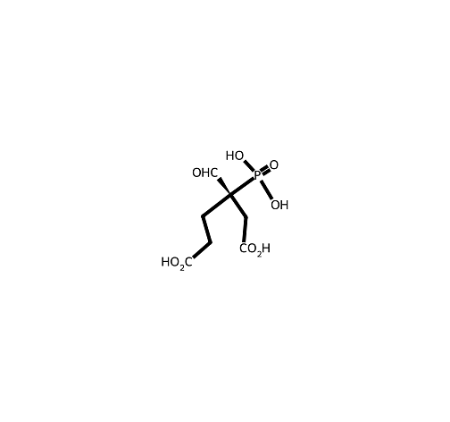 O=C[C@](CCC(=O)O)(CC(=O)O)P(=O)(O)O